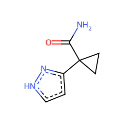 NC(=O)C1(c2cc[nH]n2)CC1